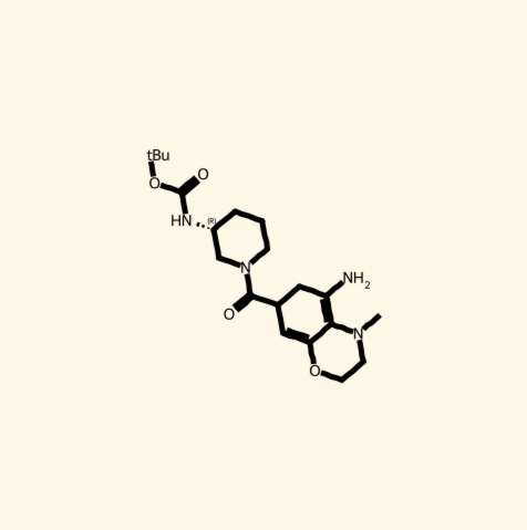 CN1CCOC2=CC(C(=O)N3CCC[C@@H](NC(=O)OC(C)(C)C)C3)CC(N)=C21